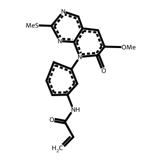 C=CC(=O)Nc1cccc(-n2c(=O)c(OC)cc3cnc(SC)nc32)c1